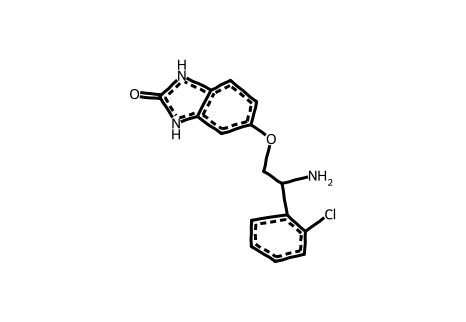 NC(COc1ccc2[nH]c(=O)[nH]c2c1)c1ccccc1Cl